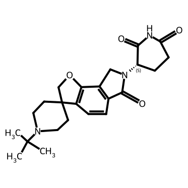 CC(C)(C)N1CCC2(CC1)COc1c2ccc2c1CN([C@H]1CCC(=O)NC1=O)C2=O